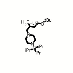 CC(C[SiH2]OC(C)(C)C)CN1CCN([Si](C(C)C)(C(C)C)C(C)C)CC1